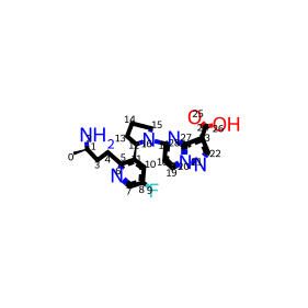 C[C@@H](N)CCc1ncc(F)cc1[C@H]1CCCN1c1ccn2ncc(C(=O)O)c2n1